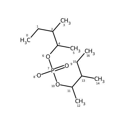 CCC(C)C(C)OP([O])(=O)OC(C)C(C)CC